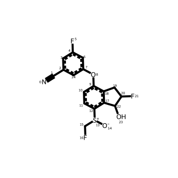 N#Cc1cc(F)cc(Oc2ccc([S+]([O-])CF)c3c2CC(F)C3O)c1